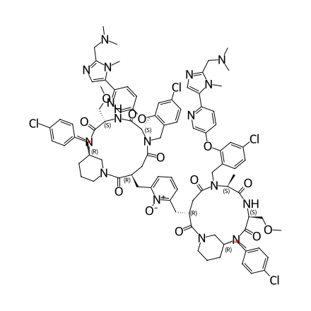 COC[C@@H]1NC(=O)[C@H](C)N(Cc2ccc(Cl)cc2Oc2ccc(-c3cnc(CN(C)C)n3C)nc2)C(=O)C[C@@H](Cc2cccc(C[C@@H]3CC(=O)N(Cc4ccc(Cl)cc4Oc4ccc(-c5cnc(CN(C)C)n5C)nc4)[C@@H](C)C(=O)N[C@@H](COC)C(=O)N(C)[C@@]4(Cc5ccc(Cl)cc5)CCCN(C4)C3=O)[n+]2[O-])C(=O)N2CCC[C@@](Cc3ccc(Cl)cc3)(C2)N(C)C1=O